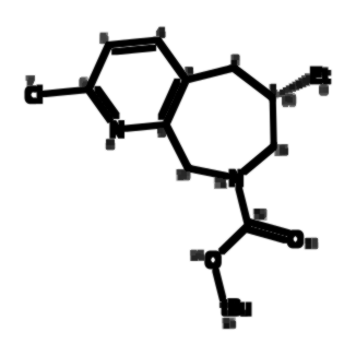 CC[C@H]1Cc2ccc(Cl)nc2CN(C(=O)OC(C)(C)C)C1